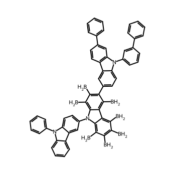 Bc1c(B)c(B)c2c(c1B)c1c(B)c(-c3ccc4c(c3)c3ccc(-c5ccccc5)cc3n4-c3cccc(-c4ccccc4)c3)c(B)c(B)c1n2-c1ccc2c(c1)c1ccccc1n2-c1ccccc1